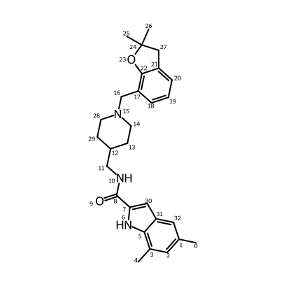 Cc1cc(C)c2[nH]c(C(=O)NCC3CCN(Cc4cccc5c4OC(C)(C)C5)CC3)cc2c1